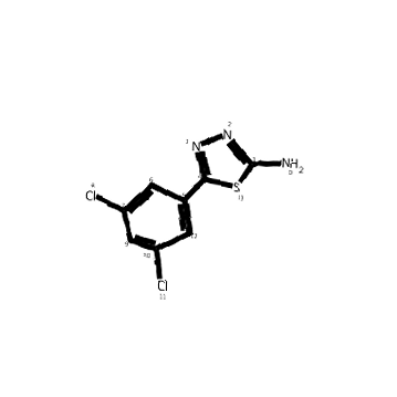 Nc1nnc(-c2[c]c(Cl)cc(Cl)c2)s1